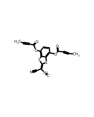 [C-]#[N+]C(C#N)=C1Sc2c(OC(=O)C#CC)ccc(OC(=O)C#CC)c2S1